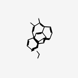 CCN(C)c1ccc(C2=C(C)\C(I)=C/C3C=CC=CC3/C=C/C=C\2)cc1